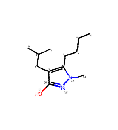 CCCCc1c(CC(C)C)c(O)nn1C